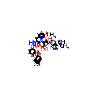 COc1ccc(C[C@H](NC(=O)OC2CCCC3(C2)OOC2(O3)C3CC4CC(C3)CC2C4)C(=O)N[C@H]2[C@@H](O)[C@H](N3CNc4c(N(C)C)ncnc43)O[C@@H]2CO)cc1